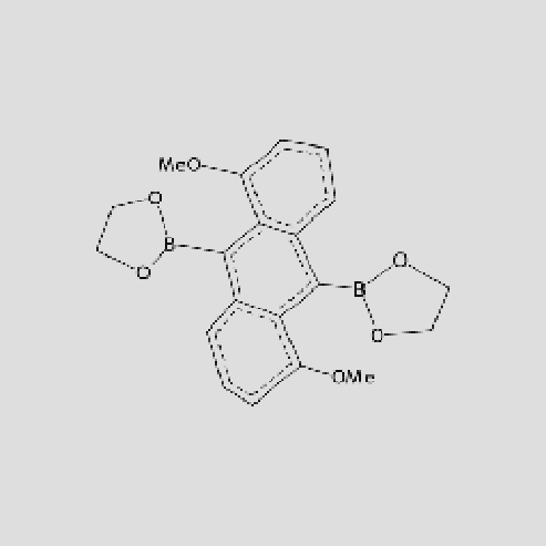 COc1cccc2c(B3OCCO3)c3c(OC)cccc3c(B3OCCO3)c12